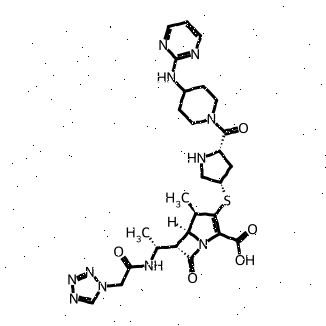 C[C@@H](NC(=O)Cn1cnnn1)[C@H]1C(=O)N2C(C(=O)O)=C(S[C@@H]3CN[C@H](C(=O)N4CCC(Nc5ncccn5)CC4)C3)[C@H](C)[C@H]12